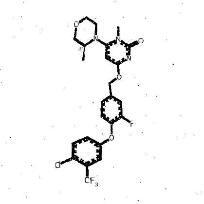 C[C@H]1COCCN1c1cc(OCc2ccc(Oc3ccc(Cl)c(C(F)(F)F)c3)c(F)c2)nc(=O)n1C